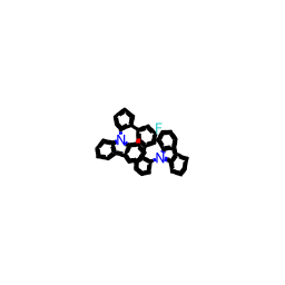 Fc1cc(-c2ccccc2-n2c3ccccc3c3ccccc32)cc(-c2ccccc2-n2c3ccccc3c3ccccc32)c1